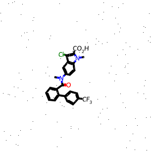 CN(C(=O)c1ccccc1-c1ccc(C(F)(F)F)cc1)c1ccc2c(c1)c(Cl)c(C(=O)O)n2C